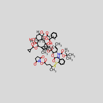 CC(=O)O[C@@]12CO[C@@H]1C[C@H](O)[C@@]1(C)C(=O)[C@H](OC(=O)C3CC3)C3=C(C)[C@@H](OC(=O)[C@H](OC(=O)Cc4ccccc4SSC(C)CCC(=O)ON4C(=O)CCC4=O)[C@H](C=C(C)C)NC(=O)OC(C)(C)C)C[C@@](O)([C@@H](OC(=O)c4ccccc4)[C@H]21)C3(C)C